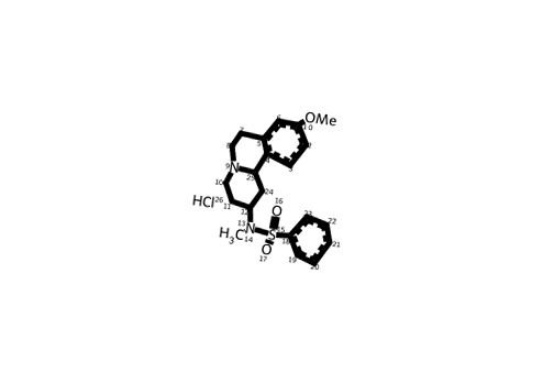 COc1ccc2c(c1)CCN1CCC(N(C)S(=O)(=O)c3ccccc3)CC21.Cl